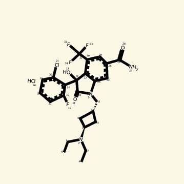 CCN(CC)[C@H]1C[C@H](CN2C(=O)C(O)(c3c(F)cccc3Cl)c3c2cc(C(N)=O)cc3C(F)(F)F)C1.Cl